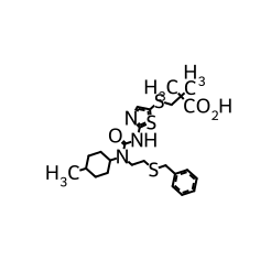 CC1CCC(N(CCSCc2ccccc2)C(=O)Nc2ncc(SCC(C)(C)C(=O)O)s2)CC1